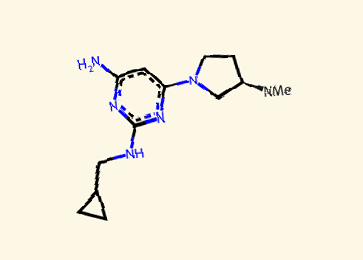 CN[C@@H]1CCN(c2cc(N)nc(NCC3CC3)n2)C1